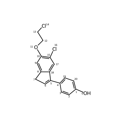 Oc1ccc(C2=CCc3cc(OCCCl)c(Cl)cc32)cc1